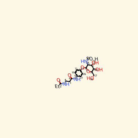 CCC(=O)NCCC(=O)Nc1ccc(OC2OC(CO)C(O)C(O)C2NS(=O)(=O)O)cc1